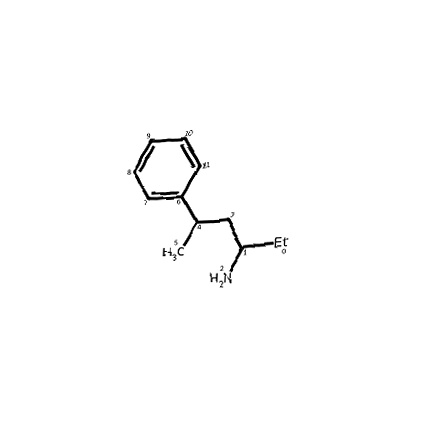 CCC(N)CC(C)c1ccccc1